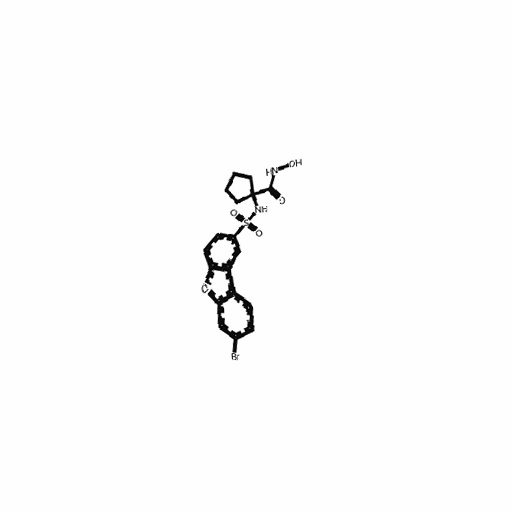 O=C(NO)C1(NS(=O)(=O)c2ccc3oc4cc(Br)ccc4c3c2)CCCC1